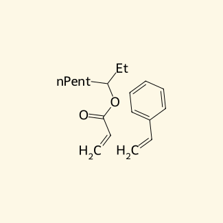 C=CC(=O)OC(CC)CCCCC.C=Cc1ccccc1